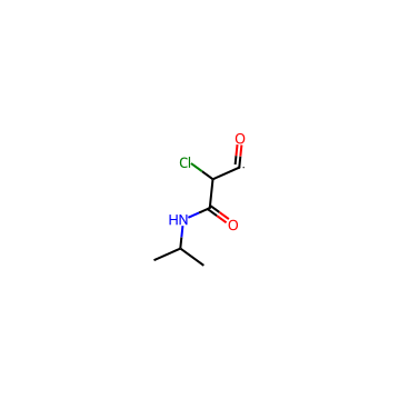 CC(C)NC(=O)C(Cl)[C]=O